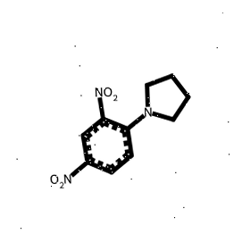 O=[N+]([O-])c1[c]c([N+](=O)[O-])c(N2CCCC2)cc1